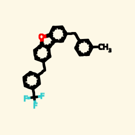 Cc1cccc(Cc2ccc3oc4ccc(Cc5cccc(C(F)(F)F)c5)cc4c3c2)c1